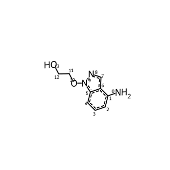 Nc1cccc2c1cnn2OCCO